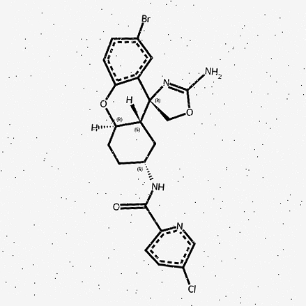 NC1=N[C@@]2(CO1)c1cc(Br)ccc1O[C@@H]1CC[C@@H](NC(=O)c3ccc(Cl)cn3)C[C@H]12